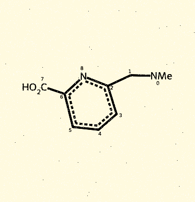 CNCc1cccc(C(=O)O)n1